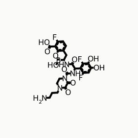 NCCCN1CCN(C(=O)NC(C(=O)N[C@H]2Cc3ccc(F)c(C(=O)O)c3OB2O)c2c(F)cc(O)c(O)c2F)C(=O)C1=O